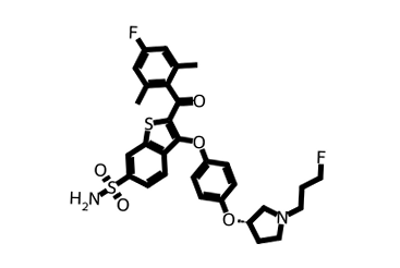 Cc1cc(F)cc(C)c1C(=O)c1sc2cc(S(N)(=O)=O)ccc2c1Oc1ccc(O[C@H]2CCN(CCCF)C2)cc1